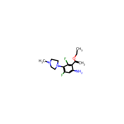 C=C(OCC)c1c(N)cc(F)c(N2CCN(C)CC2)c1F